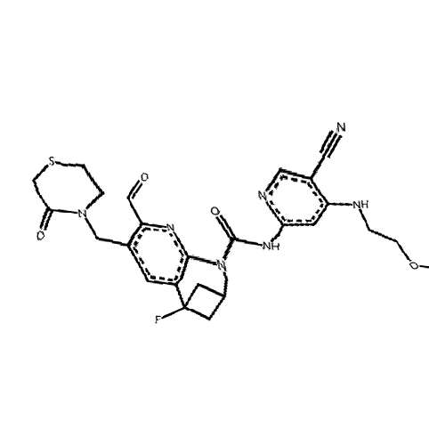 COCCNc1cc(NC(=O)N2c3nc(C=O)c(CN4CCSCC4=O)cc3C3(F)CC2C3)ncc1C#N